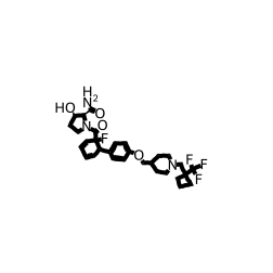 NC(=O)[C@@H]1[C@@H](O)CCN1C(=O)C1(F)C=CC=CC1c1ccc(OCC2CCN(CC3(C(F)(F)F)CCC3)CC2)cc1